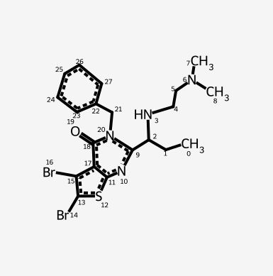 CCC(NCCN(C)C)c1nc2sc(Br)c(Br)c2c(=O)n1Cc1ccccc1